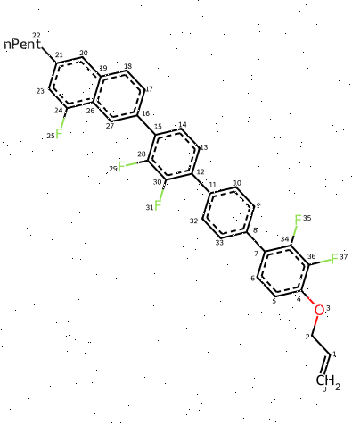 C=CCOc1ccc(-c2ccc(-c3ccc(-c4ccc5cc(CCCCC)cc(F)c5c4)c(F)c3F)cc2)c(F)c1F